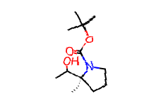 CC(O)[C@]1(C)CCCN1C(=O)OC(C)(C)C